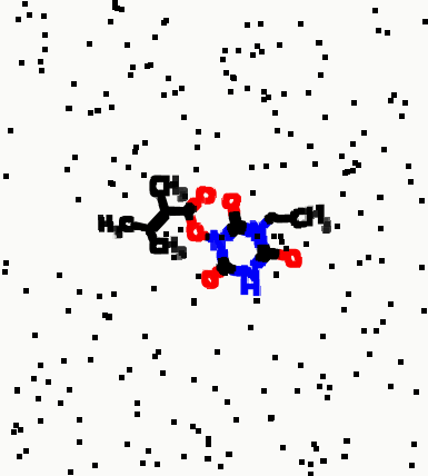 CCn1c(=O)[nH]c(=O)n(OC(=O)C(C)=C(C)C)c1=O